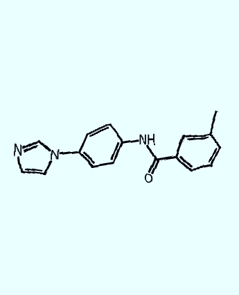 Cc1cccc(C(=O)Nc2ccc(-n3ccnc3)cc2)c1